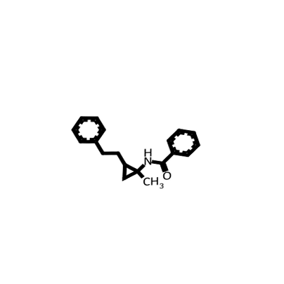 CC1(NC(=O)c2ccccc2)CC1CCc1ccccc1